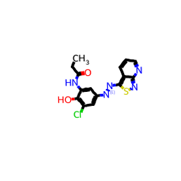 CCC(=O)Nc1cc(/N=N/c2snc3ncccc23)cc(Cl)c1O